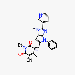 CCN1C(=O)C(C#N)=C(C)/C(=C/c2cc3c(nc(-c4cccnc4)n3C)n2-c2ccccc2)C1=O